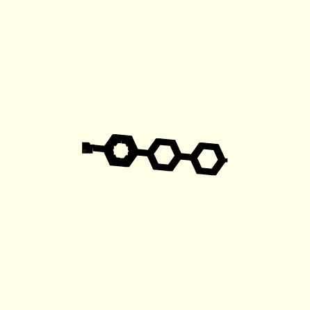 Brc1ccc(C2CCC(C3CC[CH]CC3)CC2)cc1